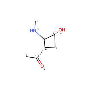 CNC1[C@H](O)C[C@@H]1C(C)=O